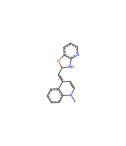 CN1C=C/C(=C\C2Nc3ncccc3O2)c2ccccc21